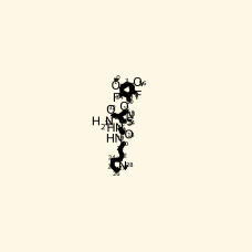 COc1cc(OC)c(F)c(COc2nsc(NC(=O)NCCCC3CCCN3C)c2C(N)=O)c1F